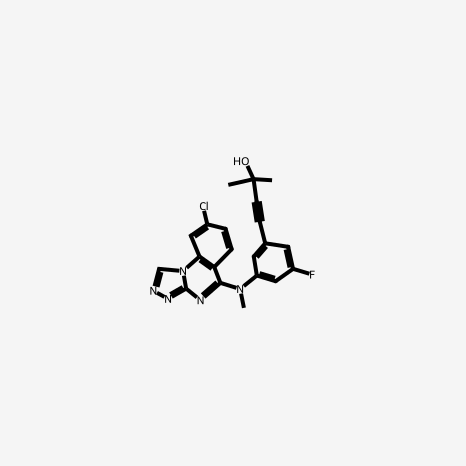 CN(c1cc(F)cc(C#CC(C)(C)O)c1)c1nc2nncn2c2cc(Cl)ccc12